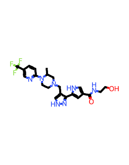 CC1CN(Cc2c[nH]nc2-c2cc(C(=O)NCCO)c[nH]2)CCN1c1ccc(C(F)(F)F)cn1